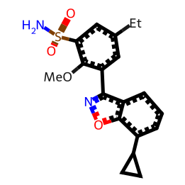 CCc1cc(-c2noc3c(C4CC4)cccc23)c(OC)c(S(N)(=O)=O)c1